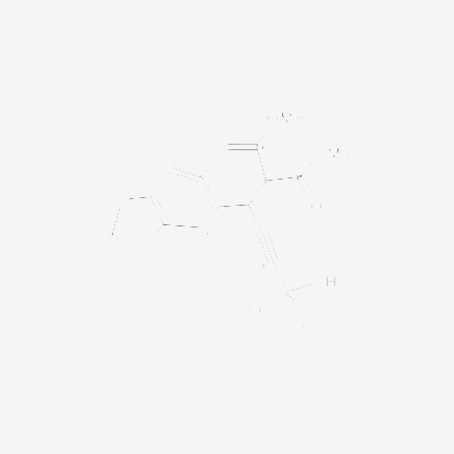 COC(=O)C(C(=O)OC)C(C#C[Si](C)(C)C)c1ccc2c(c1)OCO2